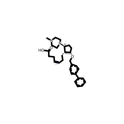 CN1CCN([C@H]2CC[C@H](OCc3ccc(-c4ccccc4)cc3)[C@@H]2CC/C=C\CCC(=O)O)CC1